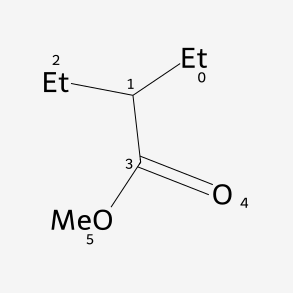 CCC(CC)C(=O)OC